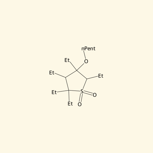 CCCCCOC1(CC)C(CC)C(CC)(CC)S(=O)(=O)C1CC